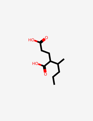 CCCC(C)C(CCC(=O)O)C(=O)O